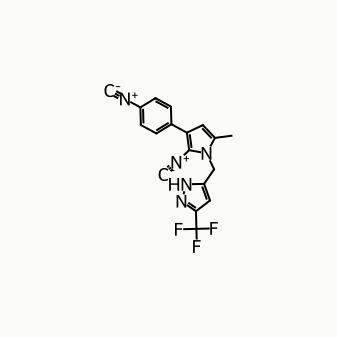 [C-]#[N+]c1ccc(-c2cc(C)n(Cc3cc(C(F)(F)F)n[nH]3)c2[N+]#[C-])cc1